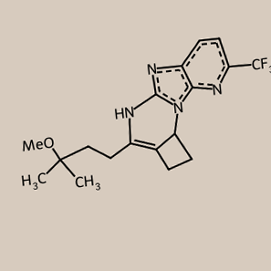 COC(C)(C)CCC1=C2CCC2n2c(nc3ccc(C(F)(F)F)nc32)N1